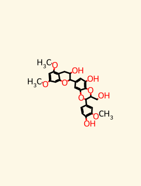 COc1cc(OC)c2c(c1)OC(c1cc(O)c3c(c1)OC(c1ccc(O)c(OC)c1)C(CO)O3)C(O)C2